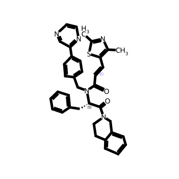 Cc1nc(C)c(/C=C/C(=O)N(Cc2ccc(-c3cnccn3)cc2)[C@@H](Cc2ccccc2)C(=O)N2CCc3ccccc3C2)s1